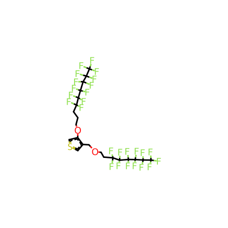 FC(F)(F)C(F)(F)C(F)(F)C(F)(F)C(F)(F)C(F)(F)CCCOc1cscc1COCCC(F)(F)C(F)(F)C(F)(F)C(F)(F)C(F)(F)C(F)(F)F